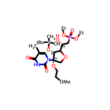 CCOP(=O)(C[C@@H](O)C1OC[C@@](OCCOC)(n2cc(C)c(=O)[nH]c2=O)[C@@H]1O[Si](C)(C)C(C)(C)C)OCC